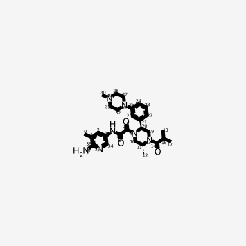 Cc1cc(NC(=O)C(=O)N2C[C@@H](C)N(C(=O)C(C)C)C[C@@H]2c2cccc(N3CCN(C)CC3)c2)cnc1N